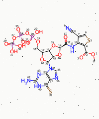 COC(=O)c1scc(C#N)c1NC(=O)[C@@H]1OC2C(COP(=O)(O)OP(=O)(O)OP(=O)(O)O)OC(n3cnc4c(=S)[nH]c(N)nc43)C2O1